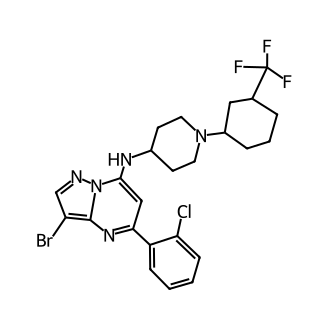 FC(F)(F)C1CCCC(N2CCC(Nc3cc(-c4ccccc4Cl)nc4c(Br)cnn34)CC2)C1